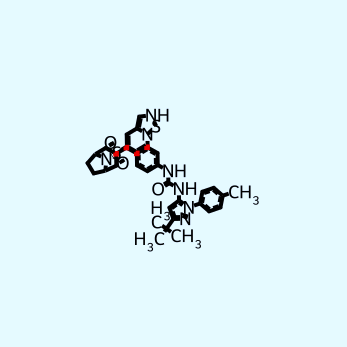 Cc1ccc(-n2nc(C(C)(C)C)cc2NC(=O)Nc2ccc(CC3CC4CCC(C3)N4S(=O)(=O)C3=CC4=CNSN4C=C3)cc2)cc1